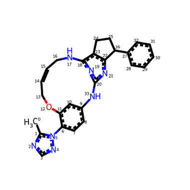 Cc1ncnn1-c1ccc2cc1OC/C=C\CNc1nc(nc3c1CCC3c1ccccc1)N2